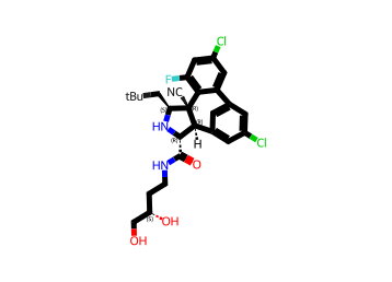 CC(C)(C)C[C@@H]1N[C@@H](C(=O)NCC[C@H](O)CO)[C@@H]2c3cc(Cl)cc(c3)-c3cc(Cl)cc(F)c3[C@@]12C#N